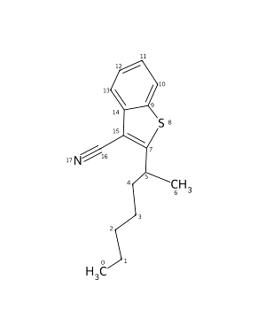 CCCCCC(C)c1sc2ccccc2c1C#N